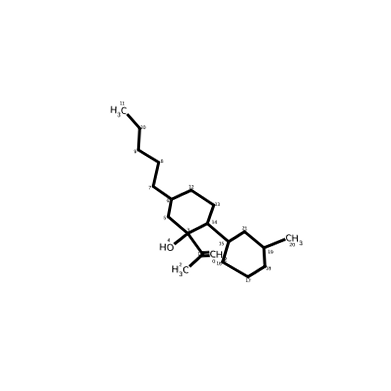 C=C(C)C1(O)CC(CCCCC)CCC1C1CCCC(C)C1